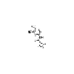 O=C(Nc1ccc(Cl)c(Br)c1)C1CCC1